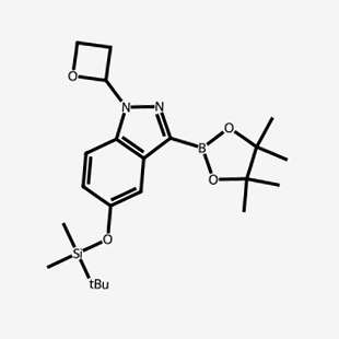 CC1(C)OB(c2nn(C3CCO3)c3ccc(O[Si](C)(C)C(C)(C)C)cc23)OC1(C)C